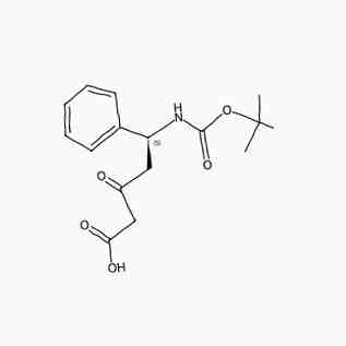 CC(C)(C)OC(=O)N[C@@H](CC(=O)CC(=O)O)c1ccccc1